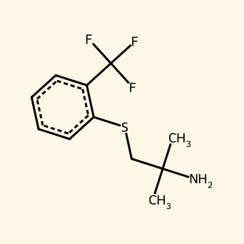 CC(C)(N)CSc1ccccc1C(F)(F)F